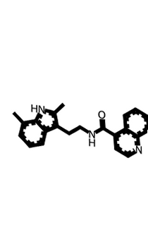 Cc1[nH]c2c(C)cccc2c1CCNC(=O)c1ccnc2ccccc12